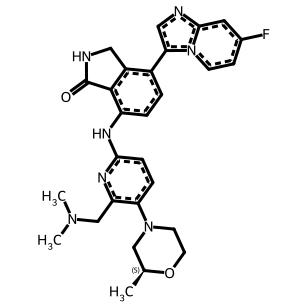 C[C@H]1CN(c2ccc(Nc3ccc(-c4cnc5cc(F)ccn45)c4c3C(=O)NC4)nc2CN(C)C)CCO1